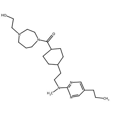 CCCc1cnc(N(C)CCC2CCC(C(=O)N3CCCN(CCO)CC3)CC2)nc1